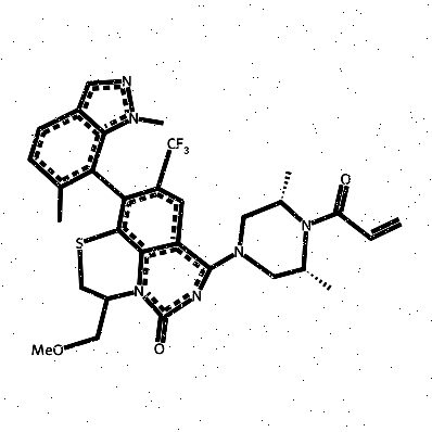 C=CC(=O)N1[C@H](C)CN(c2nc(=O)n3c4c(c(-c5c(C)ccc6cnn(C)c56)c(C(F)(F)F)cc24)SCC3COC)C[C@@H]1C